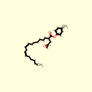 CCCCC/C=C\C/C=C\CCCCCCC(CC1CO1)C(=O)Oc1ccc(C)cc1